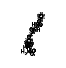 COC(=O)C(N)CNS(=O)(=O)c1c(C)cc(OCCCC(=O)NCCNC(=O)OCc2ccccc2)cc1C